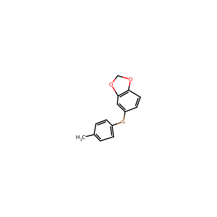 Cc1ccc(Sc2ccc3c(c2)OCO3)cc1